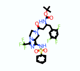 CC(C)(C)OC(=O)NC(CC(=O)N1CCn2c(C(F)(F)F)nc(NS(=O)(=O)c3ccccc3)c2C1)Cc1cc(F)c(F)cc1F